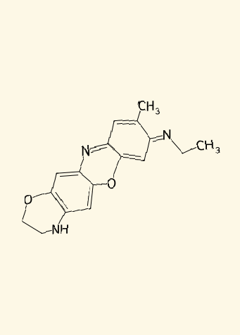 CCN=c1cc2oc3cc4c(cc3nc-2cc1C)OCCN4